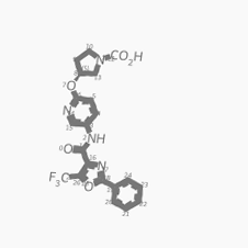 O=C(Nc1ccc(O[C@H]2CCN(C(=O)O)C2)nc1)c1nc(-c2ccccc2)oc1C(F)(F)F